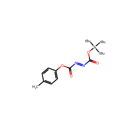 Cc1ccc(OC(=O)N=NC(=O)O[Si](C(C)(C)C)(C(C)(C)C)C(C)(C)C)cc1